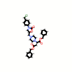 O=C(C[C@H](C(=O)OCc1ccccc1)N1CCN(CC2CN(c3ccc(CCl)cc3)C(=O)O2)CC1)OCc1ccccc1